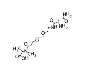 CC(C(=O)O)N(C)C(=O)CCOCCOCCNC(=O)C(N)CC(N)=O